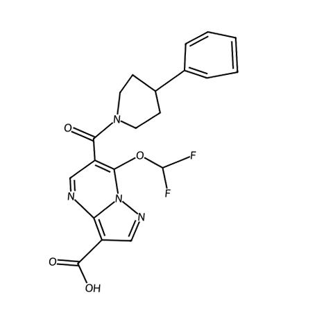 O=C(O)c1cnn2c(OC(F)F)c(C(=O)N3CCC(c4ccccc4)CC3)cnc12